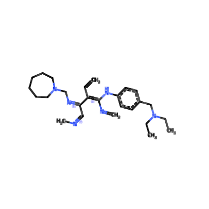 C=CC(=C(/N=C)Nc1ccc(CN(CC)CC)cc1)/C(/C=N\C)=N\CN1CCCCCC1